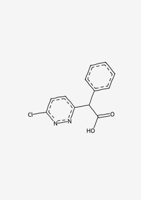 O=C(O)C(c1ccccc1)c1ccc(Cl)nn1